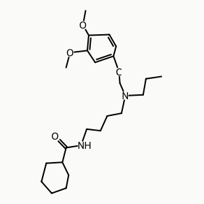 CCCN(CCCCNC(=O)C1CCCCC1)CCc1ccc(OC)c(OC)c1